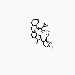 CC(N[C@H]1CCCC[C@@H]1Cc1ccc2c(c1)CN(C1CCC(=O)NC1=O)C2=O)C1CC1